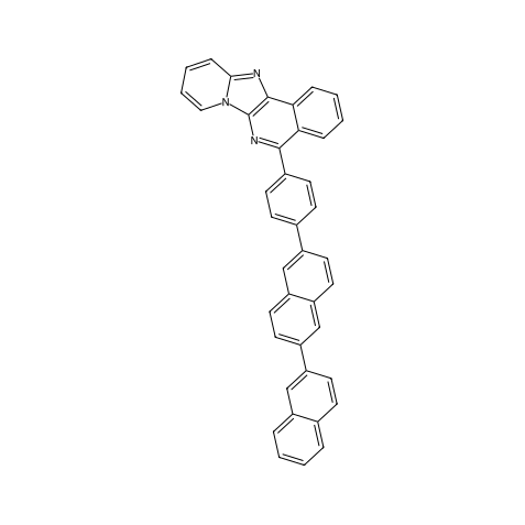 c1ccc2cc(-c3ccc4cc(-c5ccc(-c6nc7c(nc8ccccn87)c7ccccc67)cc5)ccc4c3)ccc2c1